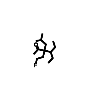 CCC(CC)C(CCF)(CC(C)C)C(C)=O